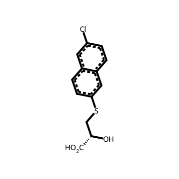 O=C(O)[C@@H](O)CSc1ccc2cc(Cl)ccc2c1